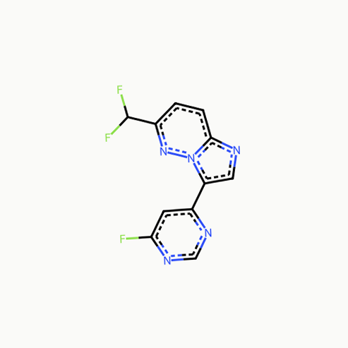 Fc1cc(-c2cnc3ccc(C(F)F)nn23)ncn1